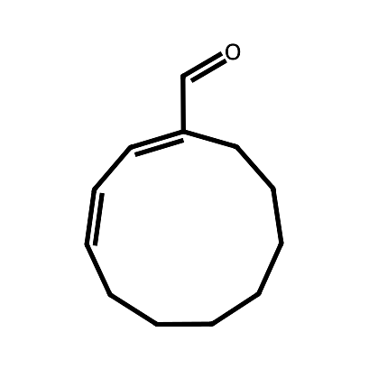 O=C/C1=C/C=C\CCCCCCC1